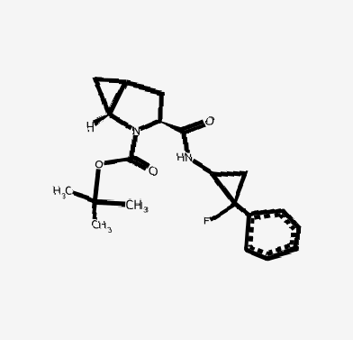 CC(C)(C)OC(=O)N1[C@@H]2CC2C[C@H]1C(=O)NC1CC1(F)c1ccccc1